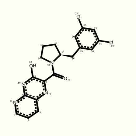 O=C(c1nc2cccnc2nc1O)N1CCC[C@H]1Cc1cc(Cl)cc(Cl)c1